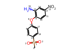 CS(=O)(=O)c1ccc(Oc2ccc([N+](=O)[O-])cc2N)cc1